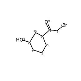 O=C(CBr)C1CCCC(O)C1